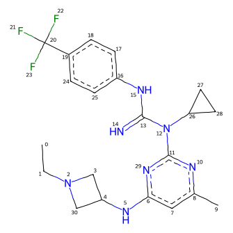 CCN1CC(Nc2cc(C)nc(N(C(=N)Nc3ccc(C(F)(F)F)cc3)C3CC3)n2)C1